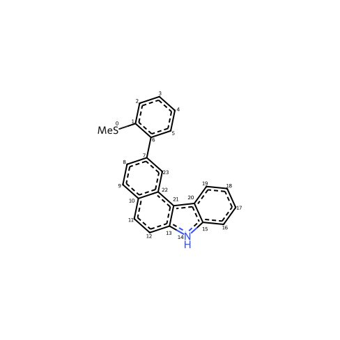 CSc1ccccc1-c1ccc2ccc3[nH]c4ccccc4c3c2c1